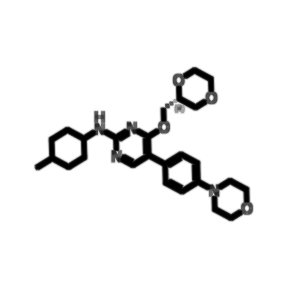 CC1CCC(Nc2ncc(-c3ccc(N4CCOCC4)cc3)c(OC[C@H]3COCCO3)n2)CC1